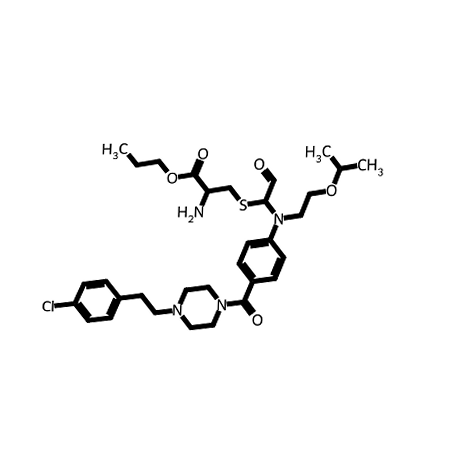 CCCOC(=O)C(N)CSC(C=O)N(CCOC(C)C)c1ccc(C(=O)N2CCN(CCc3ccc(Cl)cc3)CC2)cc1